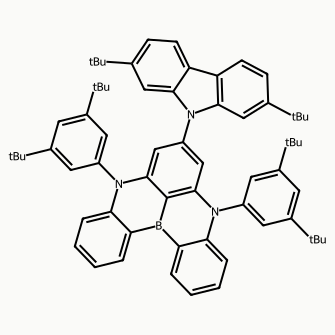 CC(C)(C)c1cc(N2c3ccccc3B3c4ccccc4N(c4cc(C(C)(C)C)cc(C(C)(C)C)c4)c4cc(-n5c6cc(C(C)(C)C)ccc6c6ccc(C(C)(C)C)cc65)cc2c43)cc(C(C)(C)C)c1